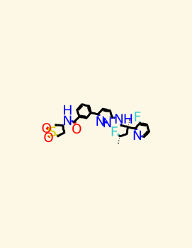 C[C@H](F)C[C@@](C)(CNc1ccc(-c2cccc(C(=O)NC3CCS(=O)(=O)C3)c2)nn1)c1ncccc1F